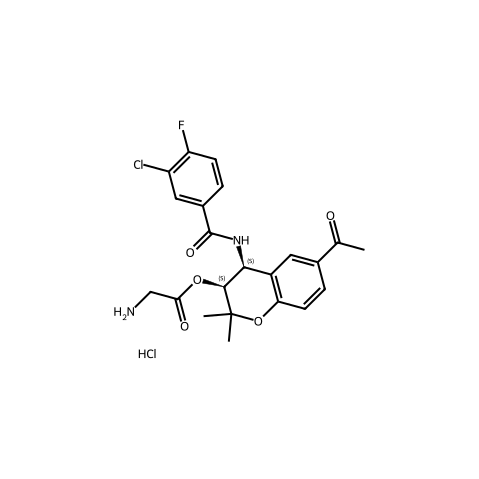 CC(=O)c1ccc2c(c1)[C@H](NC(=O)c1ccc(F)c(Cl)c1)[C@H](OC(=O)CN)C(C)(C)O2.Cl